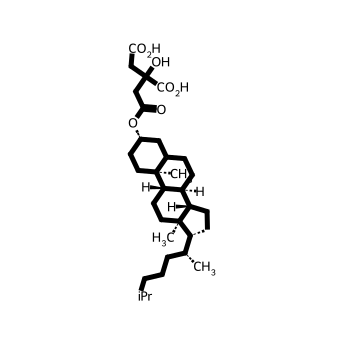 CC(C)CCC[C@@H](C)[C@H]1CC[C@H]2[C@@H]3CCC4C[C@@H](OC(=O)CC(O)(CC(=O)O)C(=O)O)CC[C@]4(C)[C@H]3CC[C@]12C